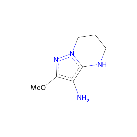 COc1nn2c(c1N)NCCC2